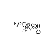 CC(O)(CC(=O)Nc1nc2ccc(C(F)(F)F)nc2n1C1(C)CCC1)c1ccccc1